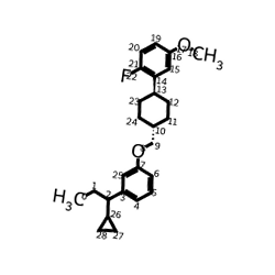 CCC(c1cccc(OC[C@H]2CC[C@H](c3cc(OC)ccc3F)CC2)c1)C1CC1